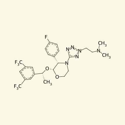 C[C@@H](O[C@H]1OCCN(c2nnn(CCN(C)C)n2)[C@H]1c1ccc(F)cc1)c1cc(C(F)(F)F)cc(C(F)(F)F)c1